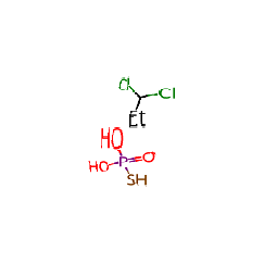 CCC(Cl)Cl.O=P(O)(O)S